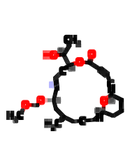 C=C[C@H](O)[C@@H]1C/C=C/[C@@H](OCOC)CC(=C)CCC[C@@H]2CC=C[C@@H](CC#CC(=O)O1)O2